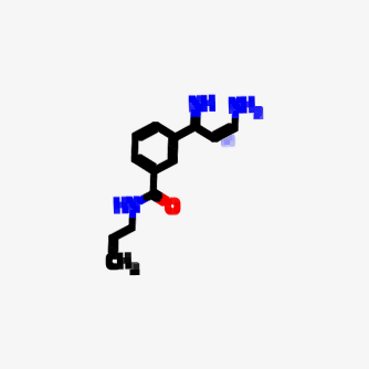 C=CCNC(=O)c1cccc(C(=N)/C=C\N)c1